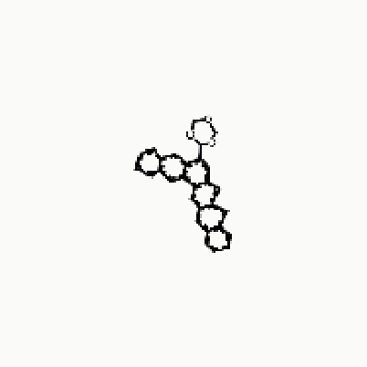 c1ccc2cc3cc4c(cc(C5OCOCO5)c5cc6ccccc6cc54)cc3cc2c1